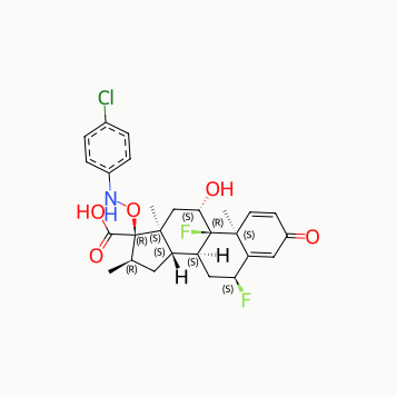 C[C@@H]1C[C@H]2[C@@H]3C[C@H](F)C4=CC(=O)C=C[C@]4(C)[C@@]3(F)[C@@H](O)C[C@]2(C)[C@@]1(ONc1ccc(Cl)cc1)C(=O)O